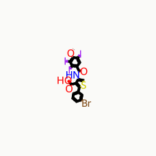 COc1c(I)cc(C(=O)Nc2csc(-c3cccc(Br)c3)c2C(=O)O)c(I)c1I